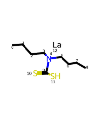 CCCCN(CCCC)C(=S)S.[La]